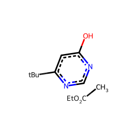 CC(C)(C)c1cc(O)ncn1.CCOC(C)=O